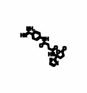 N=C(N)c1ccc(NC(=O)CCC(=O)NC2(c3nccs3)CCC(=O)O2)cc1